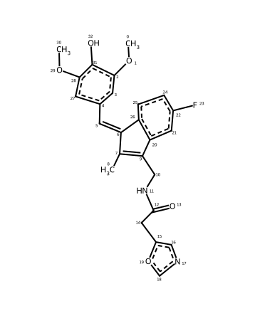 COc1cc(/C=C2/C(C)=C(CNC(=O)Cc3cnco3)c3cc(F)ccc32)cc(OC)c1O